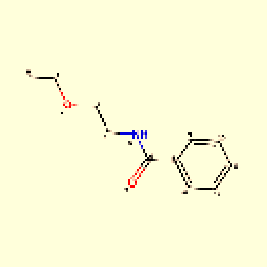 CCOCCNC(=O)c1[c]cccc1